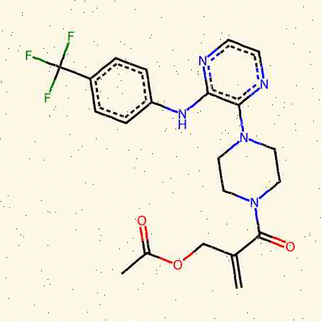 C=C(COC(C)=O)C(=O)N1CCN(c2nccnc2Nc2ccc(C(F)(F)F)cc2)CC1